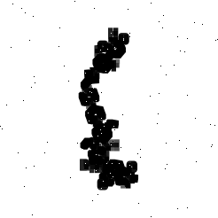 CCOc1cc(N2CCC(N3CCN(CC4CN(c5cc(F)c(C6CCC(=O)NC6=O)c(F)c5)C4)CC3)CC2)c(CC)cc1Nc1ncc(Br)c(Nc2ccc3c(=O)n(C)ncc3c2P(C)(C)=O)n1